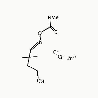 CNC(=O)O/N=C/C(C)(C)CCC#N.[Cl-].[Cl-].[Zn+2]